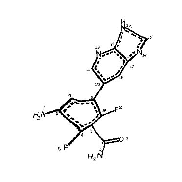 NC(=O)c1c(F)c(N)cc(-c2cnc3[nH]cnc3c2)c1F